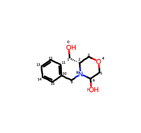 OC[C@@H]1COCC(O)N1Cc1ccccc1